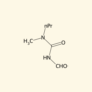 CCCN(C)C(=O)N[C]=O